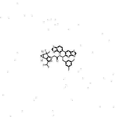 O=C(Cn1nc(C(F)F)c2c1C(F)(F)[C@@H]1C[C@H]21)N[C@H](Cc1cc(F)cc(F)c1)c1nc2ncsc2cc1-c1ccc2scnc2c1